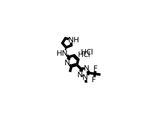 Cc1nc(N[C@H]2CCNC2)ccc1-c1nc(C(C)(F)F)n(C)n1.Cl.Cl